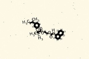 CCC(C)c1ccc(OC(OCCOC(=O)Nc2cccc3ccccc23)C(C)(C)C)cc1